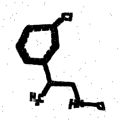 CC(CNCl)c1cccc(Cl)c1